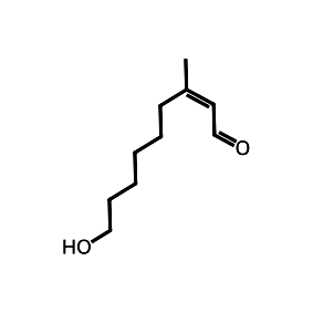 CC(=CC=O)CCCCCCO